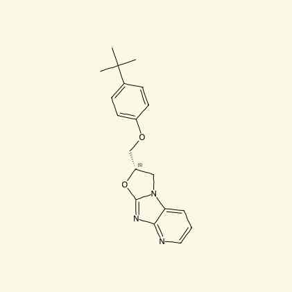 CC(C)(C)c1ccc(OC[C@@H]2Cn3c(nc4ncccc43)O2)cc1